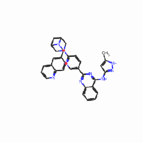 Cc1cc(Nc2nc(-c3ccc(N4CC5CC(C4)N5Cc4ccc5ncccc5c4)nc3)nc3ccccc23)n[nH]1